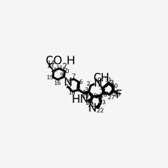 CN1Cc2c(C3=CCN([C@H]4CC[C@H](CC(=O)O)CC4)CC3)[nH]c3nccc(c23)-c2cc(F)ccc21